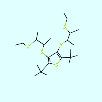 CCSC(C)C(C)Sc1c(C(C)(C)C)sc(C(C)(C)C)c1SC(C)C(C)SCC